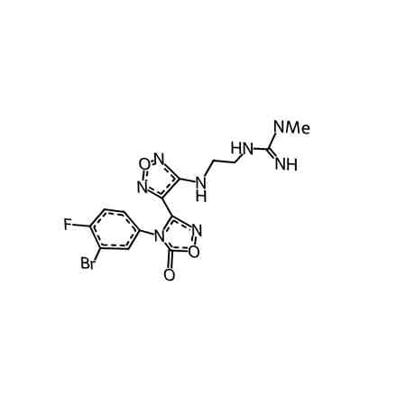 CNC(=N)NCCNc1nonc1-c1noc(=O)n1-c1ccc(F)c(Br)c1